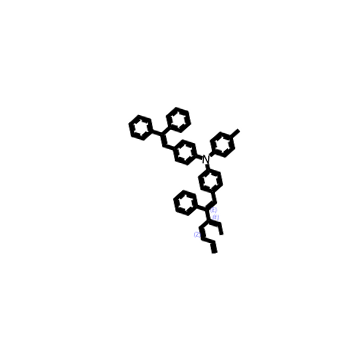 C=C\C=C/C(=C\C)C(=C/c1ccc(N(c2ccc(C)cc2)c2ccc(C=C(c3ccccc3)c3ccccc3)cc2)cc1)/c1ccccc1